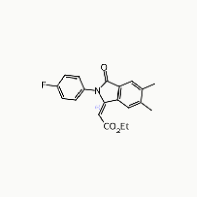 CCOC(=O)/C=C1\c2cc(C)c(C)cc2C(=O)N1c1ccc(F)cc1